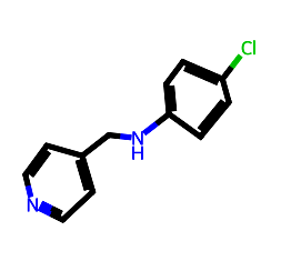 Clc1ccc(NCc2ccncc2)cc1